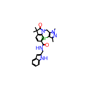 Cc1nn(C)c(CN2C(=O)C(C)(C)c3ccc(C(=O)NCc4cc5ccccc5[nH]4)cc32)c1Br